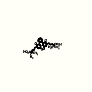 CC(C)(CCCC1=CC(=O)C=C(c2ccccc2C2=CC(=O)C=C(CCCC(C)(C)C(=O)O)C2=O)C1=O)C(=O)O